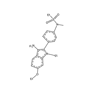 CCOc1ccc2c(N)c(-c3ccc(N(C)S(=O)(=O)CC)cc3)n(CC)c2c1